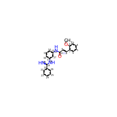 COc1ccccc1/C=C/C(=O)Nc1cccc(NC(=N)c2ccccc2)c1